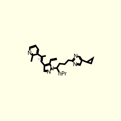 C=Cc1c(/C=C(\C)c2cccnc2C)cnn1C(CCC)CCCc1ncc(C2CC2)cn1